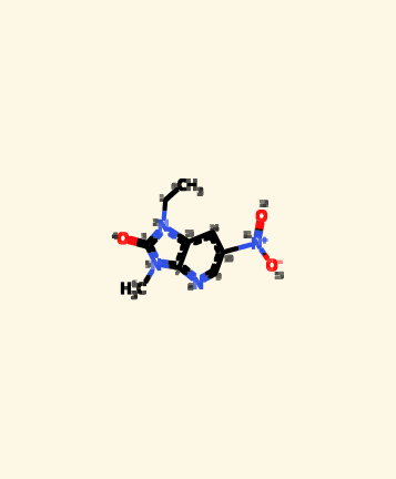 CCn1c(=O)n(C)c2ncc([N+](=O)[O-])cc21